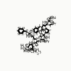 CC(C)C[C@@H](/C=C/[C@H](Cc1ccccc1)C(=O)N1CCC[C@H]1C(=O)N[C@H](C(=O)N[C@@H](CCCNC(=O)OCc1ccccc1)C(=O)NC1CC(C)(C)N(O)C(C)(C)C1)C(C)C)NC(=O)OC(C)(C)C